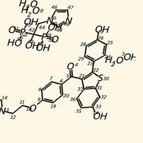 O.O.O.O.O=C(c1ccc(OCCN2CCCCC2)cc1)c1c(-c2ccc(O)cc2)sc2cc(O)ccc12.O=P(O)(O)C(O)(Cn1ccnc1)P(=O)(O)O